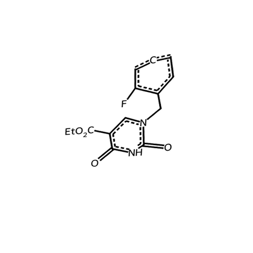 CCOC(=O)c1cn(Cc2ccccc2F)c(=O)[nH]c1=O